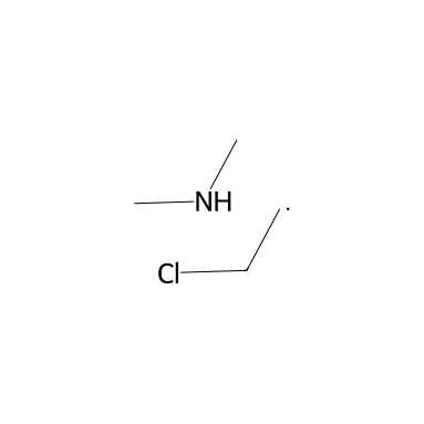 CNC.[CH2]CCl